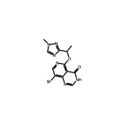 CC(Oc1ncc(Br)c2nc[nH]c(=O)c12)c1ncn(C)n1